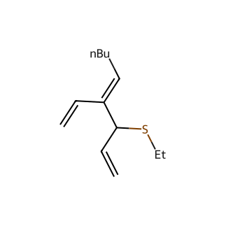 C=C/C(=C\CCCC)C(C=C)SCC